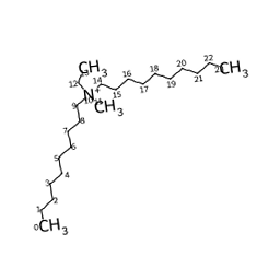 CCCCCCCCCC[N+](C)(CC)CCCCCCCCCC